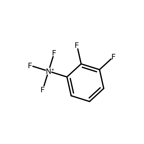 Fc1cccc([N+](F)(F)F)c1F